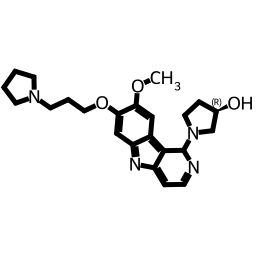 COc1cc2c(cc1OCCCN1CCCC1)=NC1=CC=NC(N3CC[C@@H](O)C3)C=21